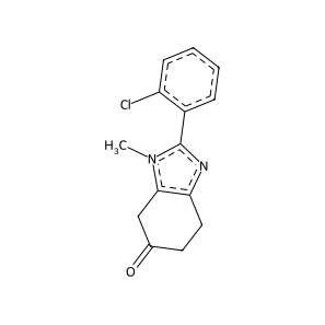 Cn1c(-c2ccccc2Cl)nc2c1CC(=O)CC2